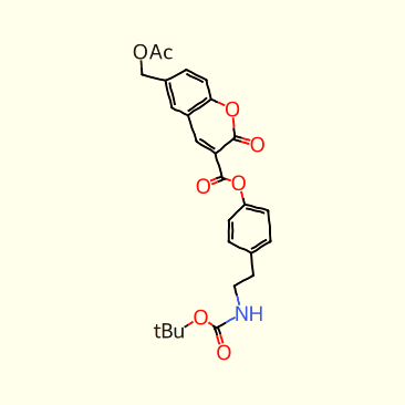 CC(=O)OCc1ccc2oc(=O)c(C(=O)Oc3ccc(CCNC(=O)OC(C)(C)C)cc3)cc2c1